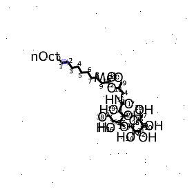 CCCCCCCC/C=C/CCCCCCCC(=O)OC(CNC(=O)C(O)C(O)C(O[C@H]1OC(CO)[C@@H](O)C(O)[C@H]1O)C(O)CO)COC